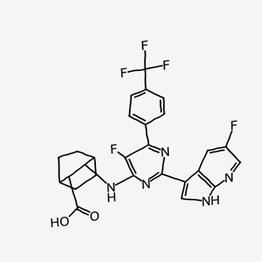 O=C(O)C1C2CCC(CC2)C1Nc1nc(-c2c[nH]c3ncc(F)cc23)nc(-c2ccc(C(F)(F)F)cc2)c1F